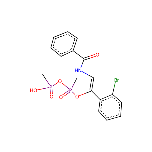 CP(=O)(O)OP(C)(=O)OC(=CNC(=O)c1ccccc1)c1ccccc1Br